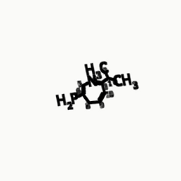 CC(C)C1=NC=C(P)CC=C1